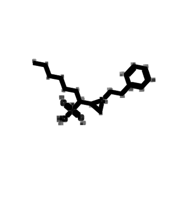 CCCCCCC(C1CN1CCc1ccccc1)S(=O)(=O)O